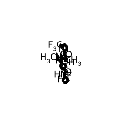 Cc1ncc(C(C)(O)C(=O)Oc2cccc(C(F)(F)F)n2)c(C2CCN(C(=O)Nc3c(F)cccc3F)CC2)n1